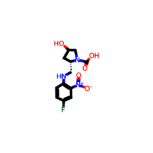 O=C(O)N1CC(O)C[C@H]1CNc1ccc(F)cc1[N+](=O)[O-]